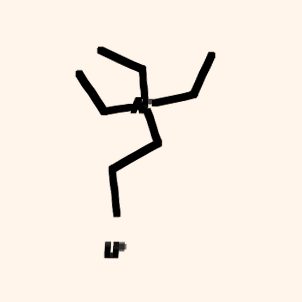 CC[CH2][Al-]([CH2]C)([CH2]C)[CH2]C.[Li+]